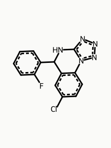 Fc1ccccc1C1Nc2nnnn2-c2ccc(Cl)cc21